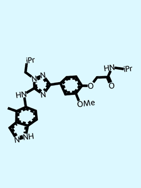 COc1cc(-c2nc(Nc3ccc4[nH]ncc4c3C)n(CC(C)C)n2)ccc1OCC(=O)NC(C)C